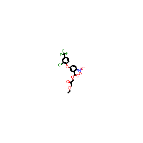 CCOCC(=O)COC(=O)c1cc(Oc2ccc(C(F)(F)F)cc2Cl)ccc1[N+](=O)[O-]